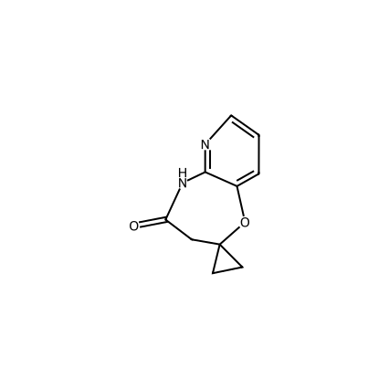 O=C1CC2(CC2)Oc2cccnc2N1